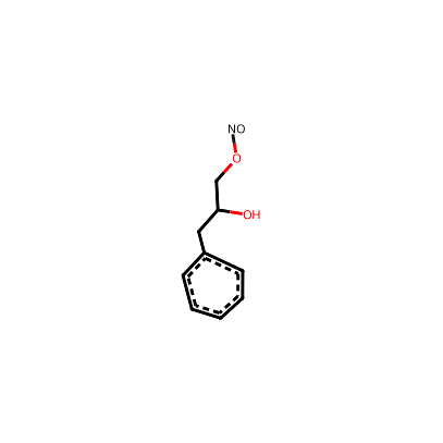 O=NOCC(O)Cc1ccccc1